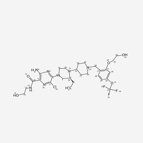 CC[C@H]1CN(c2nc(N)c(C(=O)NCCO)nc2Cl)CCN1C1CCN(Cc2ccc(OC(F)(F)F)cc2OCCO)CC1